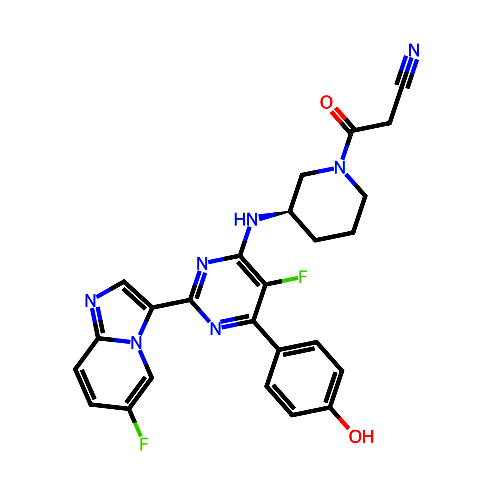 N#CCC(=O)N1CCC[C@@H](Nc2nc(-c3cnc4ccc(F)cn34)nc(-c3ccc(O)cc3)c2F)C1